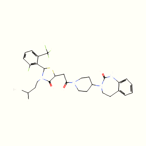 CC(C)CCN1C(=O)C(CC(=O)N2CCC(N3CCc4ccccc4NC3=O)CC2)SC1c1c(F)cccc1C(F)(F)F